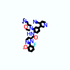 COc1cccc(F)c1-c1nccc(C(=O)Nc2ccc(-c3cnccc3C#N)cc2N2CCOC(CN(C)C)C2)n1